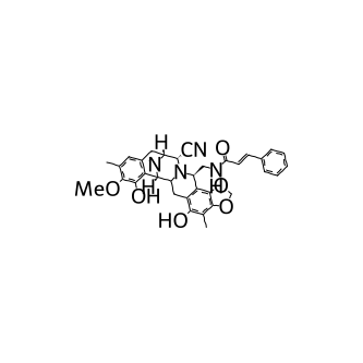 COc1c(C)cc2c(c1O)[C@H]1C3Cc4c(O)c(C)c5c(c4[C@H](CNC(=O)/C=C/c4ccccc4)N3[C@@H](C#N)[C@@H](C2)N1C)OCO5